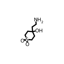 NCCC1(O)CCS(=O)(=O)CC1